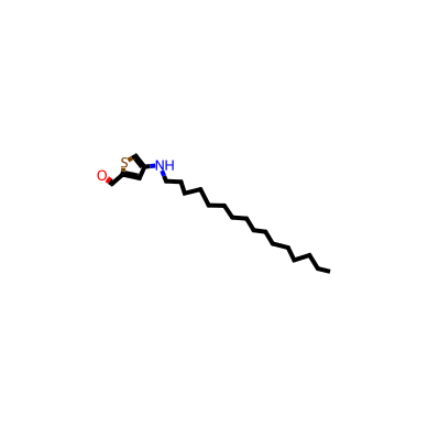 CCCCCCCCCCCCCCCCNc1csc(C=O)c1